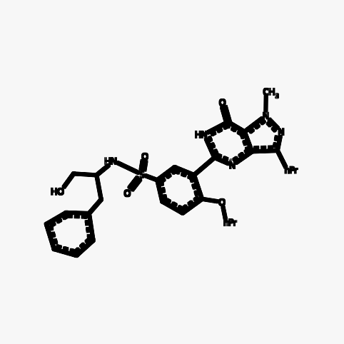 CCCOc1ccc(S(=O)(=O)NC(CO)Cc2ccccc2)cc1-c1nc2c(CCC)nn(C)c2c(=O)[nH]1